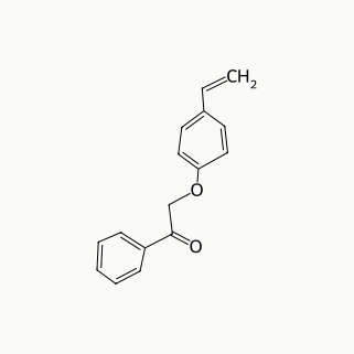 C=Cc1ccc(OCC(=O)c2ccccc2)cc1